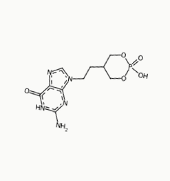 Nc1nc2c(ncn2CCC2COP(=O)(O)OC2)c(=O)[nH]1